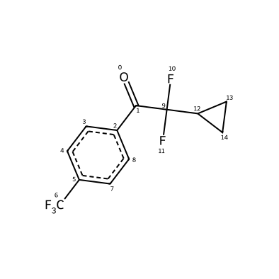 O=C(c1ccc(C(F)(F)F)cc1)C(F)(F)C1CC1